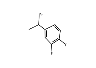 CC(C)C(C)c1ccc(F)c(F)c1